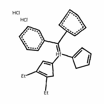 CCC1=C(CC)C[C]([Hf]([C]2=CC=CC2)=[C](c2ccccc2)c2ccccc2)=C1.Cl.Cl